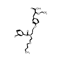 CCCCOCCN(CCOc1ccc(CC(OCC)C(=O)O)cc1)C(=O)Nc1cccc(F)c1